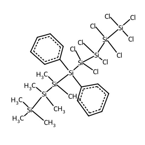 C[Si](C)(C)[Si](C)(C)[Si](C)(C)[Si](c1ccccc1)(c1ccccc1)[Si](Cl)(Cl)[Si](Cl)(Cl)[Si](Cl)(Cl)[Si](Cl)(Cl)Cl